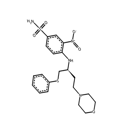 NS(=O)(=O)c1ccc(N[C@@H](CCN2CCOCC2)CSc2ccccc2)c([N+](=O)[O-])c1